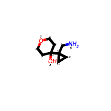 NCC1(C2(O)CCOCC2)CC1